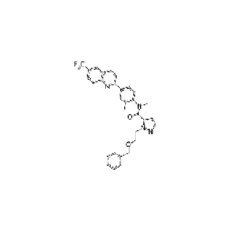 Cc1cc(-c2ccc3cc(C(F)(F)F)ccc3n2)ccc1N(C)C(=O)c1ccnn1CCOCc1ccccc1